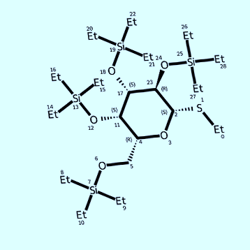 CCS[C@@H]1O[C@H](CO[Si](CC)(CC)CC)[C@H](O[Si](CC)(CC)CC)[C@H](O[Si](CC)(CC)CC)[C@H]1O[Si](CC)(CC)CC